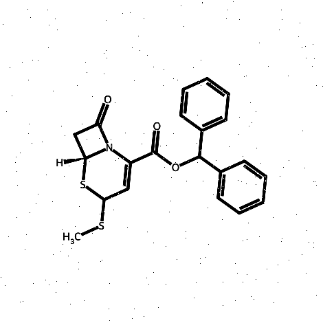 CSC1C=C(C(=O)OC(c2ccccc2)c2ccccc2)N2C(=O)C[C@H]2S1